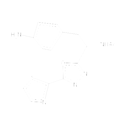 CC(=O)N[C@@H](Cc1ccc(N)cc1)c1nnc(-c2nccs2)o1